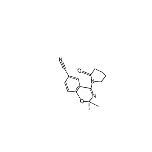 CC1(C)N=C(N2CCCCC2=O)c2cc(C#N)ccc2O1